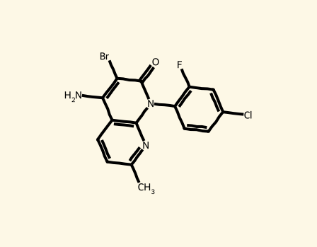 Cc1ccc2c(N)c(Br)c(=O)n(-c3ccc(Cl)cc3F)c2n1